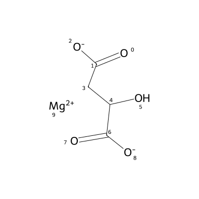 O=C([O-])CC(O)C(=O)[O-].[Mg+2]